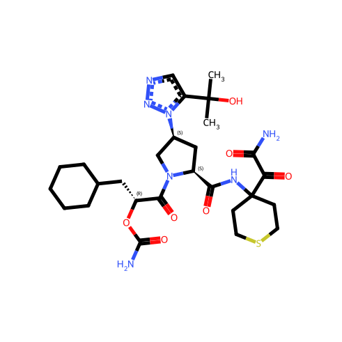 CC(C)(O)c1cnnn1[C@H]1C[C@@H](C(=O)NC2(C(=O)C(N)=O)CCSCC2)N(C(=O)[C@@H](CC2CCCCC2)OC(N)=O)C1